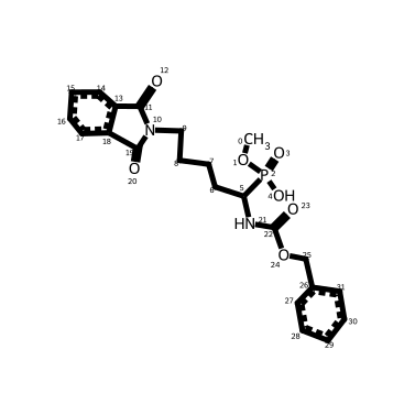 COP(=O)(O)C(CCCCN1C(=O)c2ccccc2C1=O)NC(=O)OCc1ccccc1